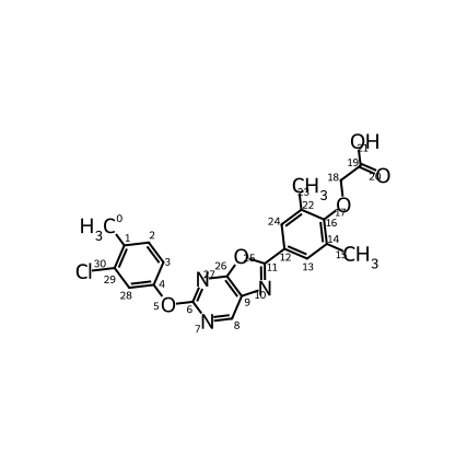 Cc1ccc(Oc2ncc3nc(-c4cc(C)c(OCC(=O)O)c(C)c4)oc3n2)cc1Cl